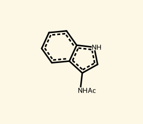 CC(=O)Nc1c[nH]c2ccccc12